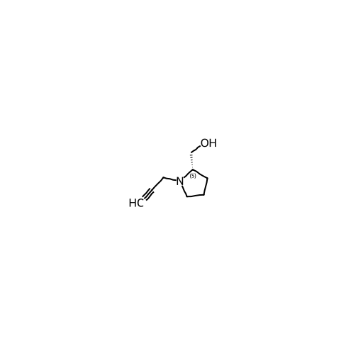 C#CCN1CCC[C@H]1CO